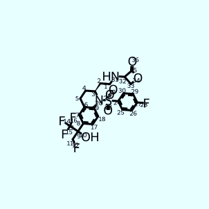 O=C(C[C@@H]1CCc2cc(C(O)(CF)C(F)(F)F)ccc2N1S(=O)(=O)c1ccc(F)cc1)NC1COC1=O